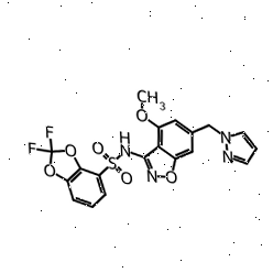 COc1cc(Cn2cccn2)cc2onc(NS(=O)(=O)c3cccc4c3OC(F)(F)O4)c12